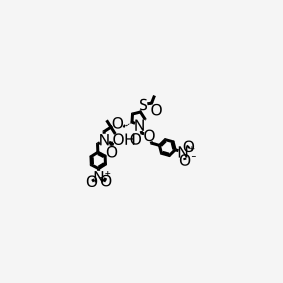 CC(=O)S[C@H]1C[C@@H](COC(C)(C)CN(Cc2ccc([N+](=O)[O-])cc2)C(=O)O)N(C(=O)OCc2ccc([N+](=O)[O-])cc2)C1